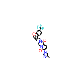 Cc1cn(-c2ccc3n(c2=O)CCN(C[C@@]24C[C@@H]2COc2cc(C(F)(F)F)ccc24)C3=O)cn1